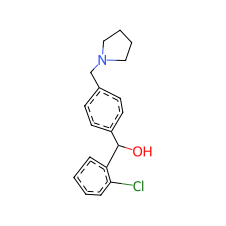 OC(c1ccc(CN2CCCC2)cc1)c1ccccc1Cl